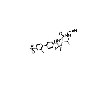 Cc1cc(S(C)(=O)=O)ccc1-c1ccc([C@H](N[C@@H](CC(C)C)C(=O)NCC#N)C(F)(F)F)cc1